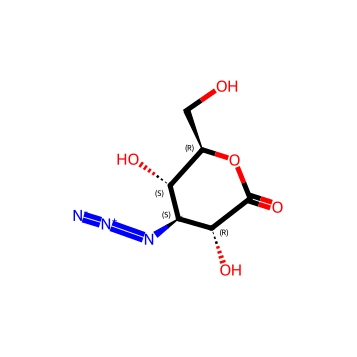 [N-]=[N+]=N[C@H]1[C@H](O)[C@@H](CO)OC(=O)[C@@H]1O